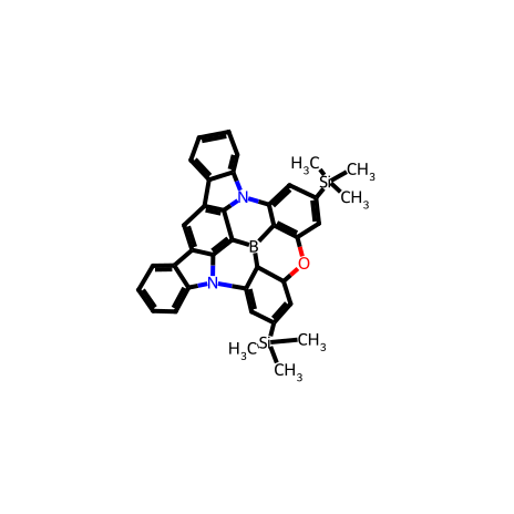 C[Si](C)(C)C1=CC2Oc3cc([Si](C)(C)C)cc4c3B3c5c6c(cc7c8ccccc8n-4c57)c4ccccc4n6C(=C1)C32